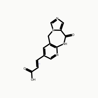 O=C(O)/C=C/c1cnc2c(c1)Cn1cncc1C(=O)N2